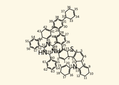 C1=CC2C3=C(C=CC4C5=CCCC=C5N(C5=CCCC=C5)C34)SC2C(c2ccc(-c3cc(C4CC=CCC4)ccc3C3=CCCC=C3)cc2C2N=C(c3ccccc3)NC(c3ccccc3)N2)=C1